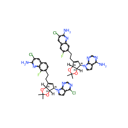 CC1(C)O[C@@H]2[C@H](O1)C(CCc1cc3nc(N)c(Cl)cc3cc1F)=C[C@H]2n1ccc2c(N)ncnc21.CC1(C)O[C@@H]2[C@H](O1)C(CCc1ccc3cc(Cl)c(N)nc3c1F)=C[C@H]2n1ccc2c(Cl)ncnc21